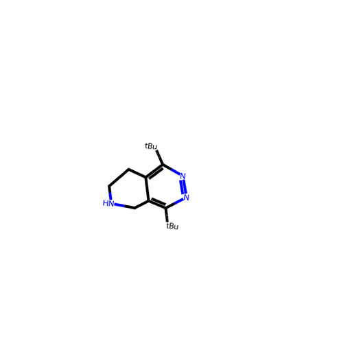 CC(C)(C)c1nnc(C(C)(C)C)c2c1CCNC2